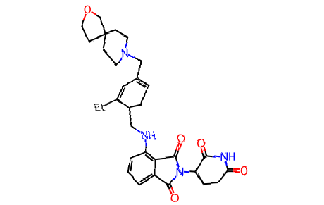 CCC1=CC(CN2CCC3(CCOC3)CC2)=CCC1CNc1cccc2c1C(=O)N(C1CCC(=O)NC1=O)C2=O